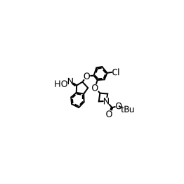 CC(C)(C)OC(=O)N1CC(Oc2cc(Cl)ccc2OC2Cc3ccccc3C2=NO)C1